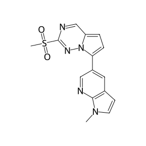 Cn1ccc2cc(-c3ccc4cnc(S(C)(=O)=O)nn34)cnc21